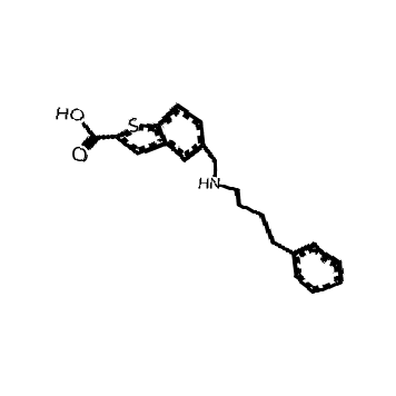 O=C(O)c1cc2cc(CNCCCCc3ccccc3)ccc2s1